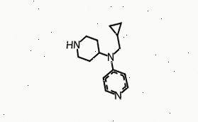 c1cc(N(CC2CC2)C2CCNCC2)ccn1